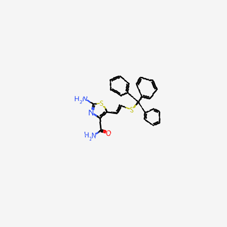 NC(=O)c1nc(N)sc1C=CSC(c1ccccc1)(c1ccccc1)c1ccccc1